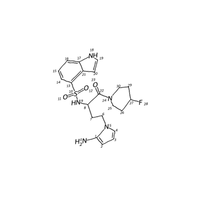 Nc1cccn1CCC(NS(=O)(=O)c1cccc2[nH]ccc12)C(=O)N1CCC(F)CC1